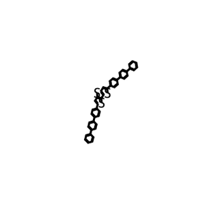 c1ccc(-c2ccc(-c3ccc(-c4cc5sc6cc(-c7ccc(-c8ccc(-c9ccccc9)cc8)cc7)sc6c5s4)cc3)cc2)cc1